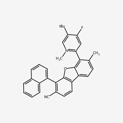 Cc1ccc2c(oc3c(-c4cccc5ccccc45)c(C#N)ccc32)c1-c1cc(F)c(C(C)(C)C)c[n+]1C